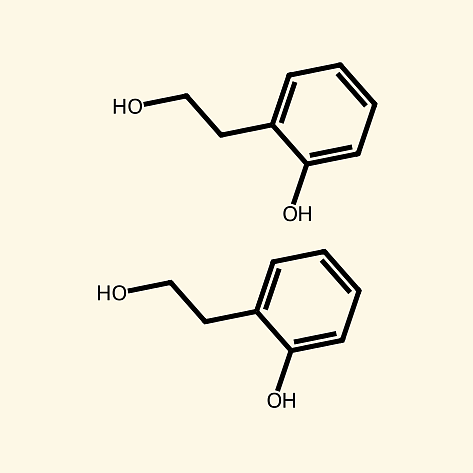 OCCc1ccccc1O.OCCc1ccccc1O